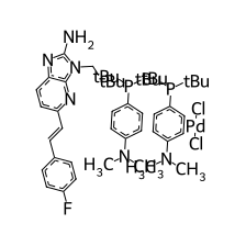 CC(C)(C)Cn1c(N)nc2ccc(/C=C/c3ccc(F)cc3)nc21.CN(C)c1ccc(P(C(C)(C)C)C(C)(C)C)cc1.CN(C)c1ccc(P(C(C)(C)C)C(C)(C)C)cc1.[Cl][Pd][Cl]